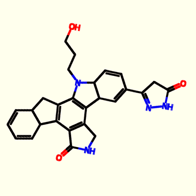 O=C1CC(C2=CC3c4c5c(c6c(c4N(CCCO)C3C=C2)CC2C=CC=CC62)C(=O)NC5)=NN1